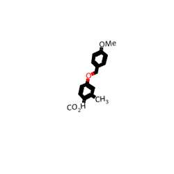 COc1ccc(COc2ccc(C(=O)O)c(C)c2)cc1